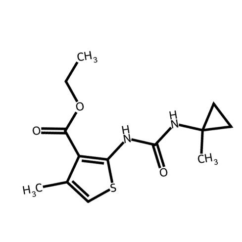 CCOC(=O)c1c(C)csc1NC(=O)NC1(C)CC1